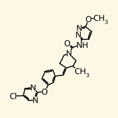 COc1ccc(NC(=O)N2CCC(=Cc3cccc(Oc4ncc(Cl)cn4)c3)C(C)C2)nn1